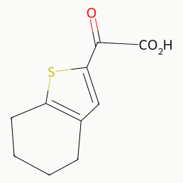 O=C(O)C(=O)c1cc2c(s1)CCCC2